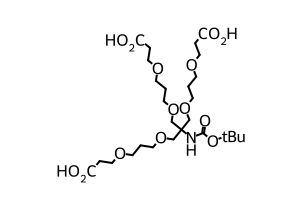 CC(C)(C)OC(=O)NC(COCCCOCCC(=O)O)(COCCCOCCC(=O)O)COCCCOCCC(=O)O